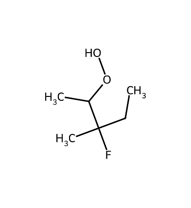 CCC(C)(F)C(C)OO